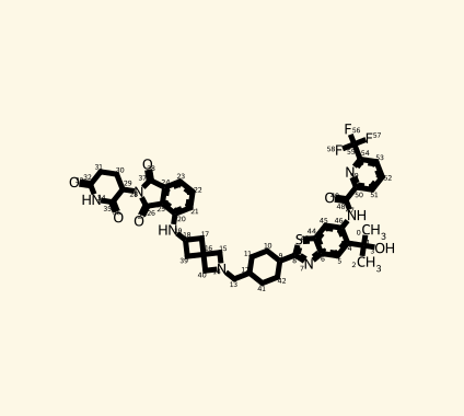 CC(C)(O)c1cc2nc(C3CCC(CN4CC5(CC(Nc6cccc7c6C(=O)N(C6CCC(=O)NC6=O)C7=O)C5)C4)CC3)sc2cc1NC(=O)c1cccc(C(F)(F)F)n1